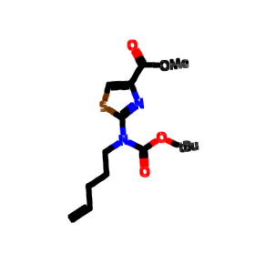 C=CCCCN(C(=O)OC(C)(C)C)c1nc(C(=O)OC)cs1